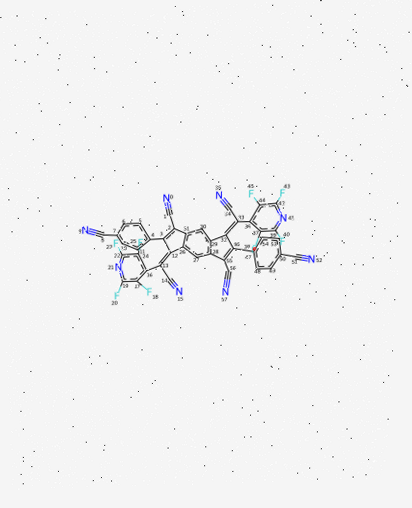 N#CC1=C(c2ccc(C#N)cc2)/C(=C(/C#N)c2c(F)c(F)nc(F)c2F)c2cc3c(cc21)/C(=C(\C#N)c1c(F)c(F)nc(F)c1F)C(c1ccc(C#N)cc1)=C3C#N